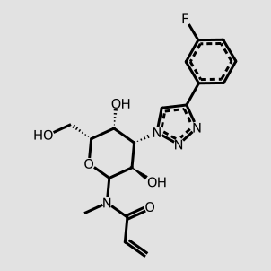 C=CC(=O)N(C)C1O[C@H](CO)[C@H](O)[C@H](n2cc(-c3cccc(F)c3)nn2)[C@H]1O